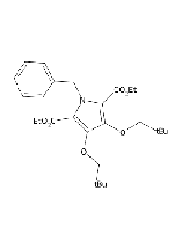 CCOC(=O)c1c(OCC(C)(C)C)c(OCC(C)(C)C)c(C(=O)OCC)n1Cc1ccccc1